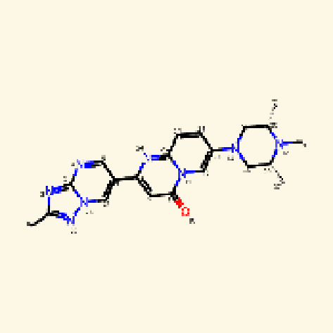 Cc1nc2ncc(-c3cc(=O)n4cc(N5C[C@@H](C)N(C)[C@@H](C)C5)ccc4n3)cn2n1